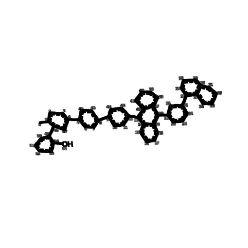 Cc1ccc(-c2ccc(-c3ccc(-c4c5ccccc5c(-c5cccc(-c6cccc7ccccc67)c5)c5ccccc45)cc3)cc2)cc1-c1ccccc1O